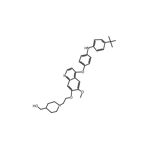 COc1cc2c(Oc3ccc(Nc4ccc(C(C)(C)C)cc4)cc3)ccnc2cc1OCCN1CCC(CO)CC1